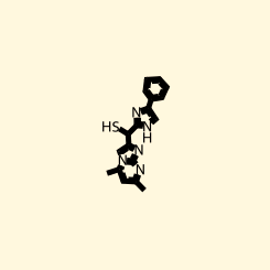 Cc1cc(C)n2cc(C(S)c3nc(-c4ccccc4)c[nH]3)nc2n1